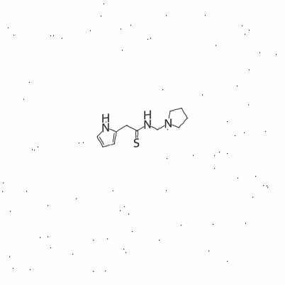 S=C(Cc1ccc[nH]1)NCN1CCCC1